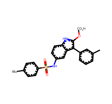 Cc1cccc(-c2c(OC(=O)O)[nH]c3ccc(NS(=O)(=O)c4ccc(C(C)(C)C)cc4)cc23)c1